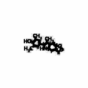 Cc1cc(-c2[nH]c3cc4c(cc3c2C)OOC4)cc(C)c1O